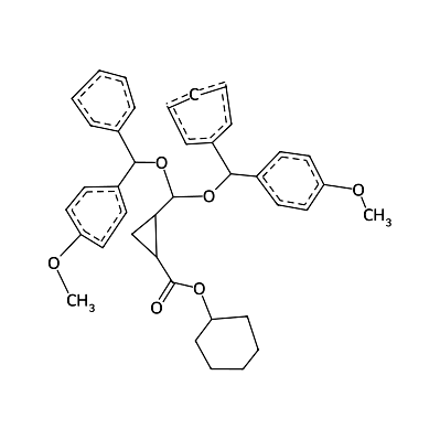 COc1ccc(C(OC(OC(c2ccccc2)c2ccc(OC)cc2)C2CC2C(=O)OC2CCCCC2)c2ccccc2)cc1